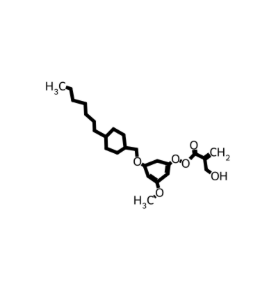 C=C(CO)C(=O)OOC1=CC(OC)=CC(OCC2CCC(CCCCCCC)CC2)C1